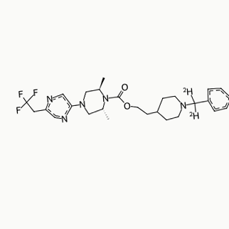 [2H]C([2H])(c1ccccc1)N1CCC(CCOC(=O)N2[C@H](C)CN(c3cnc(CC(F)(F)F)cn3)C[C@H]2C)CC1